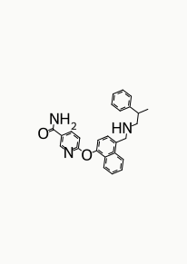 CC(CNCc1ccc(Oc2ccc(C(N)=O)cn2)c2ccccc12)c1ccccc1